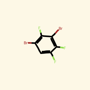 Fc1cc(Br)c(F)c(Br)c1F